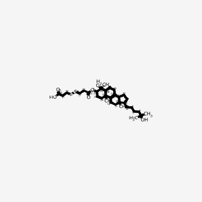 CC(C)(O)CCCCC1CCC2C3=C(CCC12C)C1(C)CCC(OC(=O)CCSSCCC(=O)O)C(C)(C)C1CC3